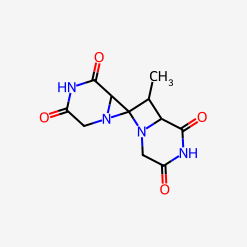 CC1C2C(=O)NC(=O)CN2C12C1C(=O)NC(=O)CN12